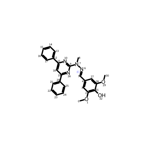 COc1cc(/C=N/N(C)c2nc(-c3ccccc3)cc(-c3ccccc3)n2)cc(OC)c1O